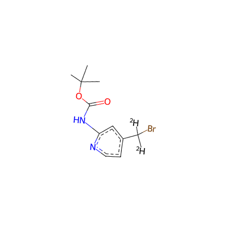 [2H]C([2H])(Br)c1ccnc(NC(=O)OC(C)(C)C)c1